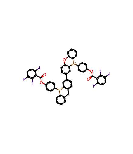 O=C(Oc1ccc([S+]2c3ccccc3Cc3ccc(-c4ccc5c(c4)[S+](c4ccc(OC(=O)c6c(I)ccc(I)c6I)cc4)c4ccccc4O5)cc32)cc1)c1c(I)ccc(I)c1I